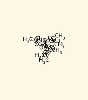 CCCCC(Oc1ccc(-c2nc(-c3ccc(OC(CCCC)C(=O)OC)cc3O)nc(-c3ccc(OC(CCCC)C(=O)OC)cc3OC(CCCC)C(=O)OC)n2)c(O)c1)C(=O)OC